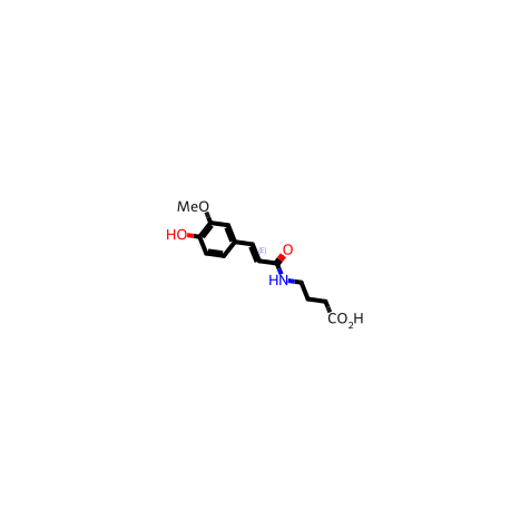 COc1cc(/C=C/C(=O)NCCCC(=O)O)ccc1O